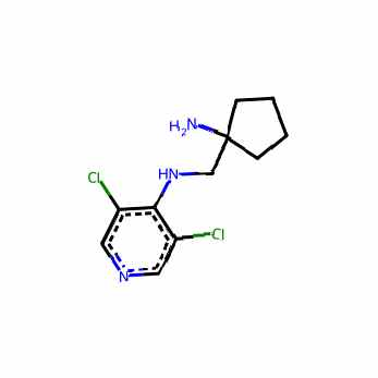 NC1(CNc2c(Cl)cncc2Cl)CCCC1